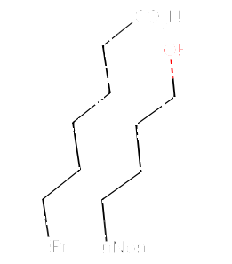 CC(C)CCCCCC(=O)O.CCCCCCCCCCCCCO